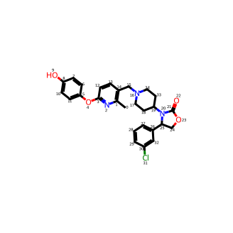 Cc1nc(Oc2ccc(O)cc2)ccc1CN1CCC(N2C(=O)OCC2c2cccc(Cl)c2)CC1